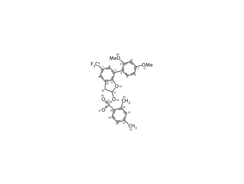 COc1ccc(-c2cc(C(F)(F)F)cc3c2OC(OS(=O)(=O)c2ccc(C)cc2C)C3)c(OC)c1